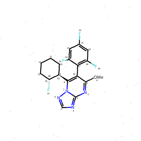 COc1nc2ncnn2c([C@@H]2CCCC[C@H]2F)c1-c1c(F)cc(F)cc1F